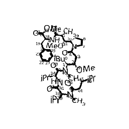 CC[C@H](C)[C@@H]([C@@H](CC(=O)N1CCC[C@H]1[C@H](OC)[C@@H](C)C(=O)N[C@@H](Cc1ccccc1)C(=O)OC)OC)N(C)C(=O)[C@@H](NC(=O)C(C(C)C)N(C)C(=O)CCC(C)C)C(C)C